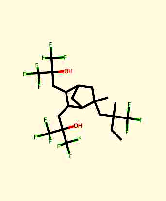 CCC(C)(CC1(C)CC2CC1C(CC(O)(C(F)(F)F)C(F)(F)F)C2CC(O)(C(F)(F)F)C(F)(F)F)C(F)(F)F